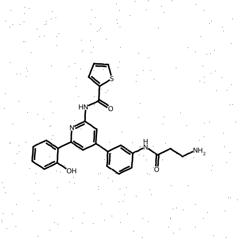 NCCC(=O)Nc1cccc(-c2cc(NC(=O)c3cccs3)nc(-c3ccccc3O)c2)c1